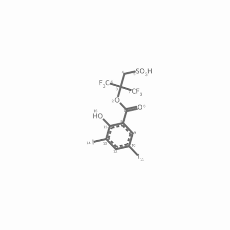 O=C(OC(CS(=O)(=O)O)(C(F)(F)F)C(F)(F)F)c1cc(I)cc(I)c1O